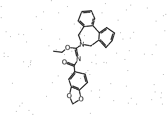 CCO/C(=N\C(=O)c1ccc2c(c1)OCO2)N1Cc2ccccc2-c2ccccc2C1